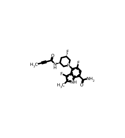 CC#CC(=O)N[C@H]1C[C@H](F)CN(c2c(F)cc(C(N)=O)c3[nH]c(C)c(F)c23)C1